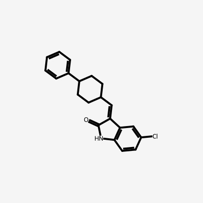 O=C1Nc2ccc(Cl)cc2C1=CC1CCC(c2ccccc2)CC1